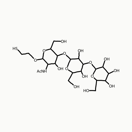 CC(=O)NC1C(OCCS)OC(CO)C(OC2OC(CO)C(O)C(OC3OC(CO)C(O)C(O)C3O)C2O)C1O